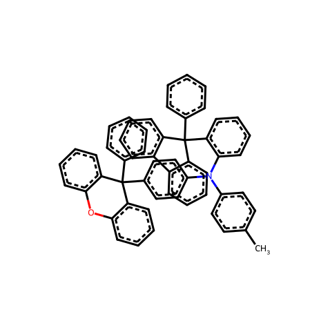 Cc1ccc(N(c2ccc(C3(c4ccccc4)c4ccccc4Oc4ccccc43)cc2)c2ccccc2C2(c3ccccc3)c3ccccc3-c3ccccc32)cc1